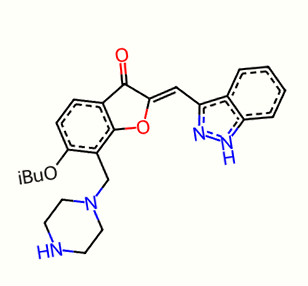 CC(C)COc1ccc2c(c1CN1CCNCC1)OC(=Cc1n[nH]c3ccccc13)C2=O